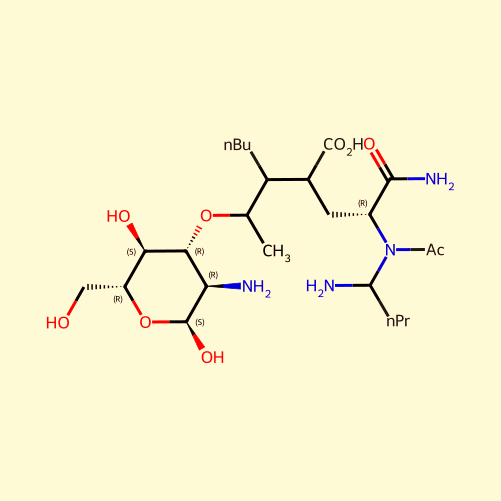 CCCCC(C(C)O[C@@H]1[C@@H](N)[C@@H](O)O[C@H](CO)[C@H]1O)C(C[C@H](C(N)=O)N(C(C)=O)C(N)CCC)C(=O)O